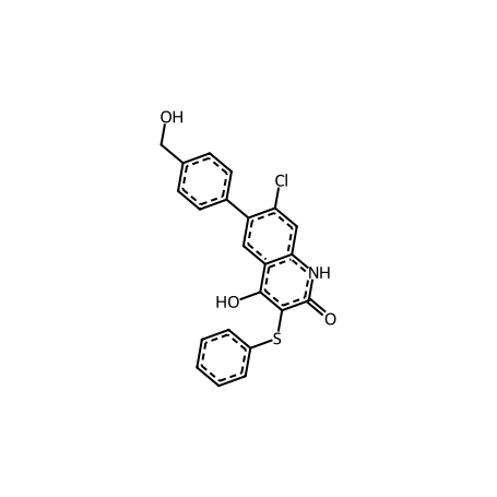 O=c1[nH]c2cc(Cl)c(-c3ccc(CO)cc3)cc2c(O)c1Sc1ccccc1